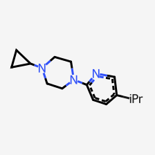 CC(C)c1ccc(N2CCN(C3CC3)CC2)nc1